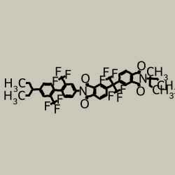 CCC(CC)c1ccc(-c2ccc(N3C(=O)c4ccc(C(c5ccc6c(c5)C(=O)N(C(C)(CC)CC)C6=O)(C(F)(F)F)C(F)(F)F)cc4C3=O)cc2C(F)(F)F)c(C(F)(F)F)c1